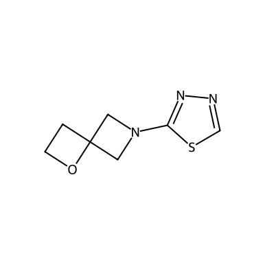 c1nnc(N2CC3(CCO3)C2)s1